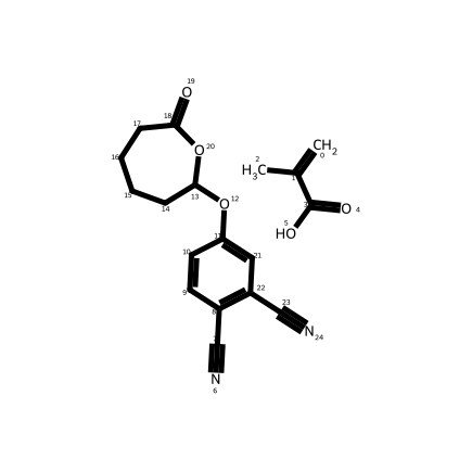 C=C(C)C(=O)O.N#Cc1ccc(OC2CCCCC(=O)O2)cc1C#N